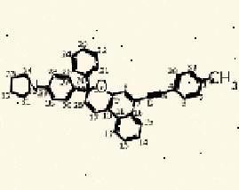 Cc1ccc(C#Cc2cc3c(c4ccccc24)C=CC(c2ccccc2)(c2ccc(N4CCCC4)cc2)O3)cc1